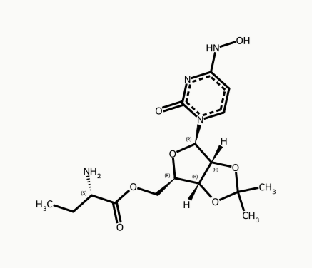 CC[C@H](N)C(=O)OC[C@H]1O[C@@H](n2ccc(NO)nc2=O)[C@@H]2OC(C)(C)O[C@@H]21